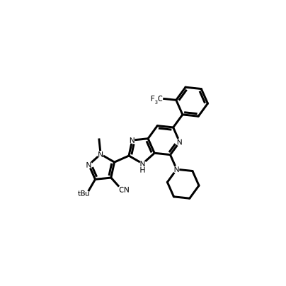 Cn1nc(C(C)(C)C)c(C#N)c1-c1nc2cc(-c3ccccc3C(F)(F)F)nc(N3CCCCC3)c2[nH]1